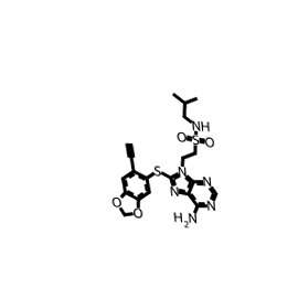 C#Cc1cc2c(cc1Sc1nc3c(N)ncnc3n1CCS(=O)(=O)NCC(C)C)OCO2